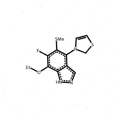 CCOc1c(F)c(SC)c(N2C=CSC2)c2cn[nH]c12